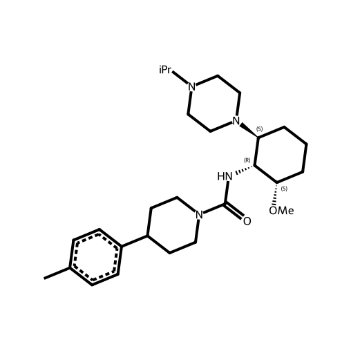 CO[C@H]1CCC[C@H](N2CCN(C(C)C)CC2)[C@H]1NC(=O)N1CCC(c2ccc(C)cc2)CC1